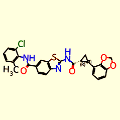 Cc1cccc(Cl)c1NC(=O)c1ccc2nc(NC(=O)[C@@H]3C[C@H]3c3cccc4c3OCO4)sc2c1